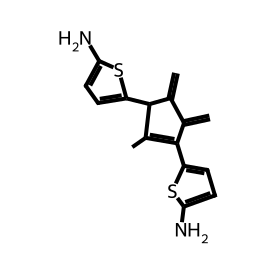 C=C1C(=C)C(c2ccc(N)s2)C(C)=C1c1ccc(N)s1